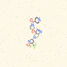 COc1ncc(N2CCc3ncnc(OC4CCN(C(=O)c5ccncc5)C4)c3C2)cc1C(F)(F)F